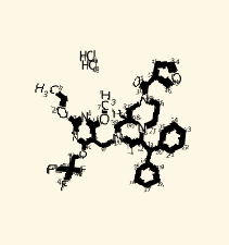 CCOc1nc(OC)c(CN2CC(C(c3ccccc3)c3ccccc3)N3CCN(C(=O)c4ccoc4)C[C@H]3C2)c(OCC(F)(F)F)n1.Cl.Cl